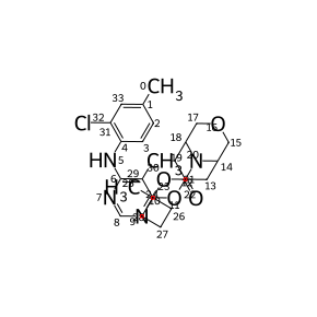 Cc1ccc(Nc2ncnc(OC3CC4COCC(C3)N4C(=O)OC3(C)CCC3)c2C)c(Cl)c1